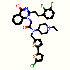 CCN1CCC(N(Cc2ccc(-c3ccc(Cl)s3)s2)C(=O)Cn2c(CCc3cccc(F)c3F)nc(=O)c3ccccc32)CC1